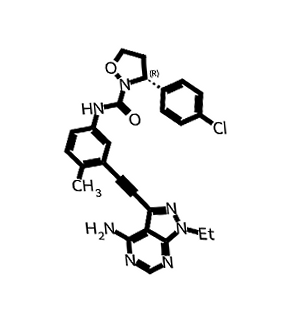 CCn1nc(C#Cc2cc(NC(=O)N3OCC[C@@H]3c3ccc(Cl)cc3)ccc2C)c2c(N)ncnc21